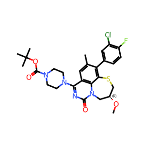 CO[C@H]1CSc2c(-c3ccc(F)c(Cl)c3)c(C)cc3c(N4CCN(C(=O)OC(C)(C)C)CC4)nc(=O)n(c23)C1